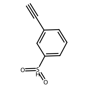 C#Cc1cccc([SH](=O)=O)c1